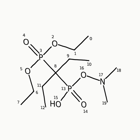 CCOP(=O)(OCC)C(CC)(CC)P(=O)(O)ON(C)C